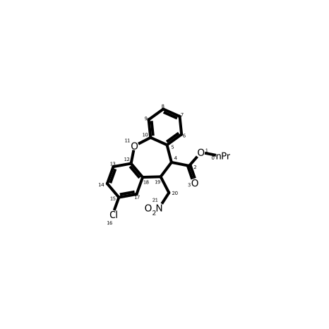 CCCOC(=O)C1c2ccccc2Oc2ccc(Cl)cc2C1C[N+](=O)[O-]